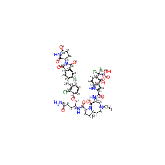 CN1CC[C@H]2CC[C@@H](C(=O)N[C@@H](CCC(N)=O)COc3cccc(Cc4cc5c(cc4F)C(=O)N(C4CCC(=O)NC4=O)C5=O)c3Cl)N2C(=O)[C@@H](NC(=O)c2cc3cc(C(F)(F)P(=O)(O)O)ccc3[nH]2)C1